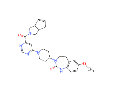 COc1ccc2c(c1)CCN(C1CCN(c3cc(C(=O)N4CC5C=CCC5C4)ncn3)CC1)C(=O)N2